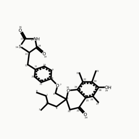 CCC(C)CC1(COc2ccc(CC3SC(=O)NC3=O)cc2)CC(=O)c2c(C)c(O)c(C)c(C)c2O1